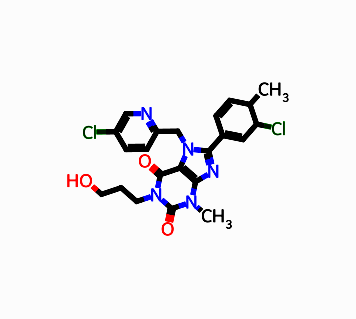 CC1C=CC(c2nc3c(c(=O)n(CCCO)c(=O)n3C)n2Cc2ccc(Cl)cn2)=CC1Cl